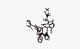 CN(C)C1(COc2nc(N3C4CCC3CN(C(=O)OC(C)(C)C)C4)c3c4c(c(-c5c(F)ccc6sc(NC(=O)OC(C)(C)C)c(C#N)c56)c(F)c3n2)COC4)CC1